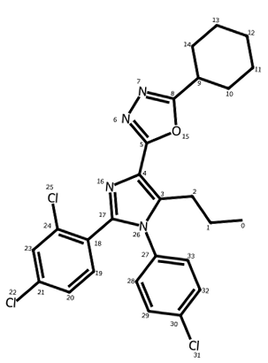 CCCc1c(-c2nnc(C3CCCCC3)o2)nc(-c2ccc(Cl)cc2Cl)n1-c1ccc(Cl)cc1